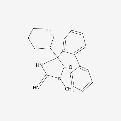 CN1C(=N)NC(c2ccccc2-c2ccccc2)(C2CCCCC2)C1=O